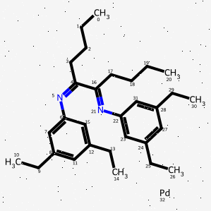 CCCCC(=Nc1cc(CC)cc(CC)c1)C(CCCC)=Nc1cc(CC)cc(CC)c1.[Pd]